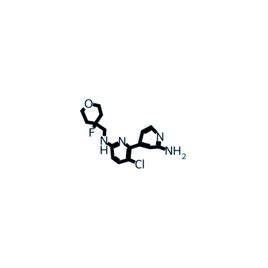 Nc1cc(-c2nc(NCC3(F)CCOCC3)ccc2Cl)ccn1